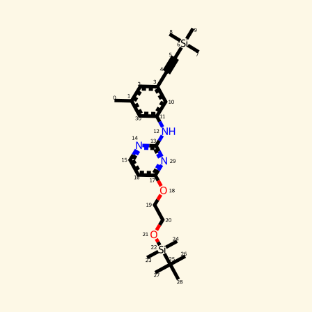 Cc1cc(C#C[Si](C)(C)C)cc(Nc2nccc(OCCO[Si](C)(C)C(C)(C)C)n2)c1